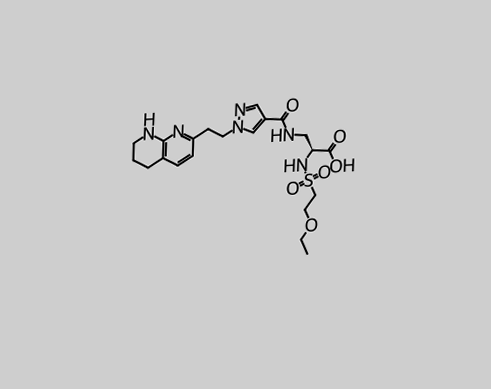 CCOCCS(=O)(=O)N[C@@H](CNC(=O)c1cnn(CCc2ccc3c(n2)NCCC3)c1)C(=O)O